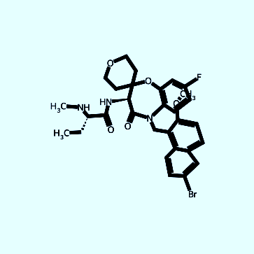 CC[C@H](NC)C(=O)N[C@@H]1C(=O)N(Cc2c(OC)ccc3cc(Br)ccc23)c2ccc(F)cc2OC12CCOCC2